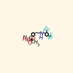 CC(C)(Oc1cccc(CCCNCc2ccc(C(F)(F)F)cc2C(F)(F)F)c1)C(=O)O